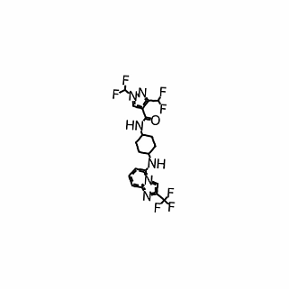 O=C(NC1CCC(Nc2cccc3nc(C(F)(F)F)cn23)CC1)c1cn(C(F)F)nc1C(F)F